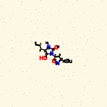 C=CCC1C(O)N(c2cc(C(C)(C)C)no2)C(=O)N1C